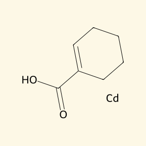 O=C(O)C1=CCCCC1.[Cd]